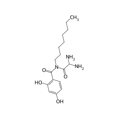 CCCCCCCCN(C(=O)c1ccc(O)cc1O)C(=O)C(N)N